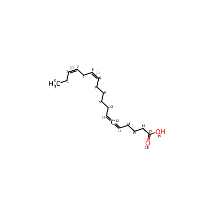 CC/C=C\C/C=C\CCCCC=C=CCCCC(=O)O